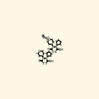 S=C([S-])N(N1CCOCC1)N(C(=S)S)N1CCCC1.S=C([S-])N(N1CCOCC1)N(C(=S)S)N1CCCC1.[O]=[Mo+2]=[O]